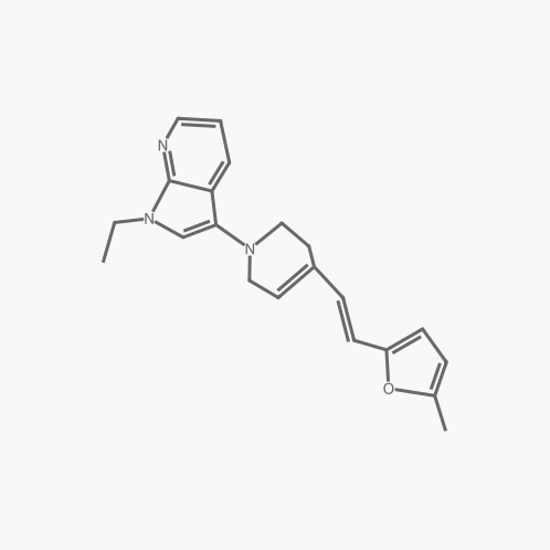 CCn1cc(N2CC=C(C=Cc3ccc(C)o3)CC2)c2cccnc21